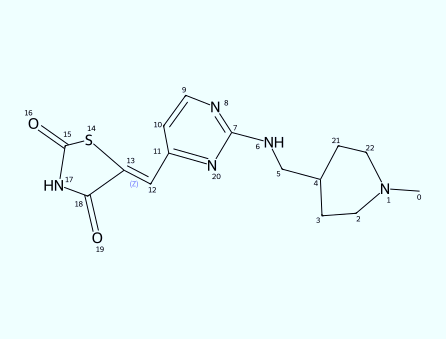 CN1CCC(CNc2nccc(/C=C3\SC(=O)NC3=O)n2)CC1